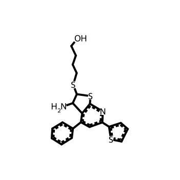 NC1c2c(-c3ccccc3)cc(-c3cccs3)nc2SC1SCCCCO